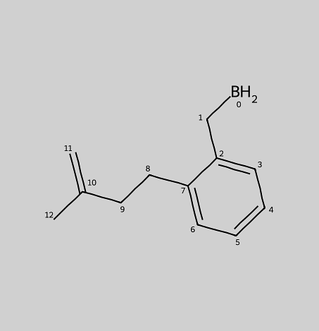 BCc1ccccc1CCC(=C)C